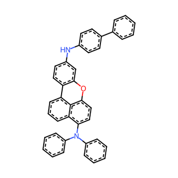 c1ccc(-c2ccc(Nc3ccc4c(c3)Oc3ccc(N(c5ccccc5)c5ccccc5)c5cccc-4c35)cc2)cc1